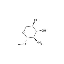 CO[C@@H]1OC[C@@H](O)[C@@H](O)[C@H]1N